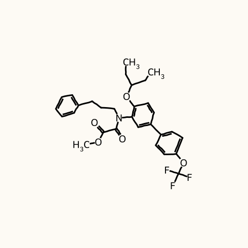 CCC(CC)Oc1ccc(-c2ccc(OC(F)(F)F)cc2)cc1N(CCCc1ccccc1)C(=O)C(=O)OC